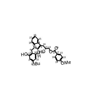 CCCCc1cc(O)c(Cn2cc(C[C@H](O)COC(=O)c3ccc(OC)cc3)c3ccccc32)c(O)c1